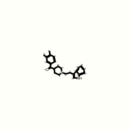 Cc1ccc(C(=O)C2CCN(CCc3c[nH]c4ccccc34)CC2)cc1C